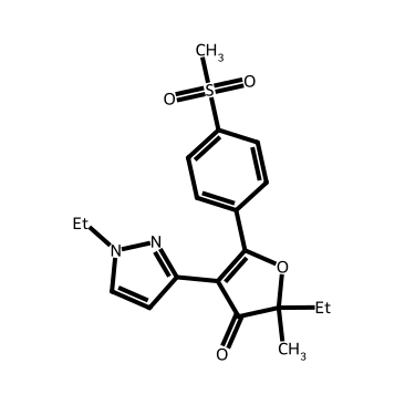 CCn1ccc(C2=C(c3ccc(S(C)(=O)=O)cc3)OC(C)(CC)C2=O)n1